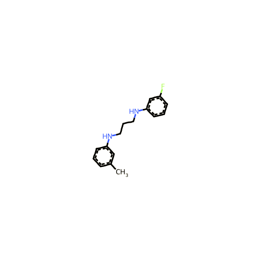 Cc1cccc(NCCCNc2cccc(F)c2)c1